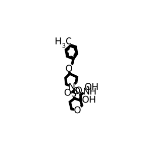 Cc1ccc(COC2CCN(S(=O)(=O)C3CCOCC3(O)C(=O)NO)CC2)cc1